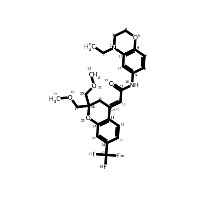 CCN1CCOc2ccc(NC(=O)/C=C3\CC(COC)(COC)Oc4cc(C(F)(F)F)ccc43)cc21